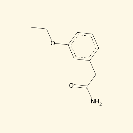 CCOc1cccc(CC(N)=O)c1